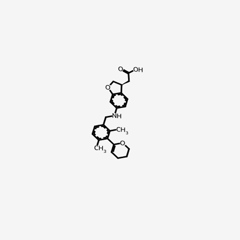 Cc1ccc(CNc2ccc3c(c2)OC[C@H]3CC(=O)O)c(C)c1C1=CCCCO1